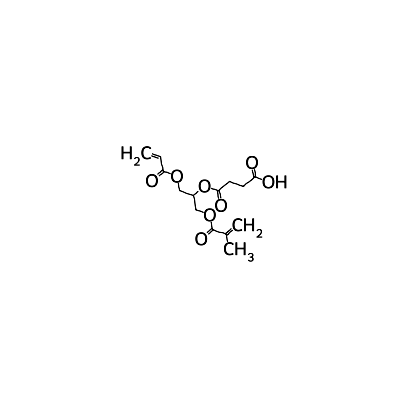 C=CC(=O)OCC(COC(=O)C(=C)C)OC(=O)CCC(=O)O